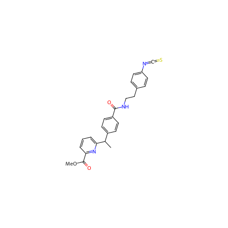 COC(=O)c1cccc(C(C)c2ccc(C(=O)NCCc3ccc(N=C=S)cc3)cc2)n1